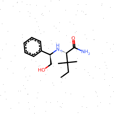 CCC(C)(C)[C@H](N[C@@H](CO)c1ccccc1)C(N)=O